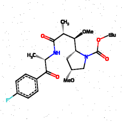 CO[C@@H]1C[C@H]([C@H](OC)[C@@H](C)C(=O)N[C@@H](C)C(=O)c2ccc(F)cc2)N(C(=O)OC(C)(C)C)C1